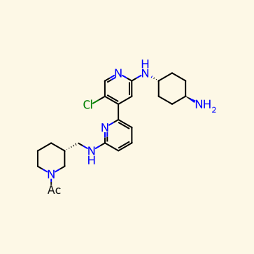 CC(=O)N1CCC[C@H](CNc2cccc(-c3cc(N[C@H]4CC[C@H](N)CC4)ncc3Cl)n2)C1